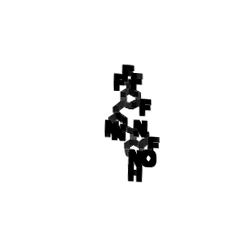 O=C1NCCc2c(-c3cc(Cc4cc(F)cc(C(F)(F)F)c4)cnn3)ncc(F)c21